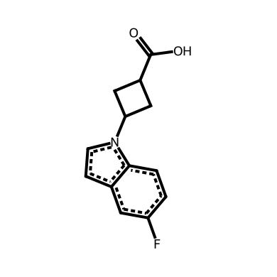 O=C(O)C1CC(n2ccc3cc(F)ccc32)C1